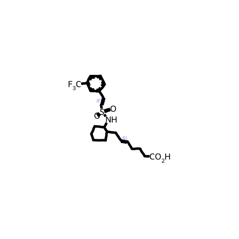 O=C(O)CCC/C=C/CC1CCCCC1NS(=O)(=O)/C=C/c1cccc(C(F)(F)F)c1